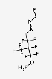 FCN=NCC(F)(F)C(F)(C(F)(F)F)C(F)(F)OP